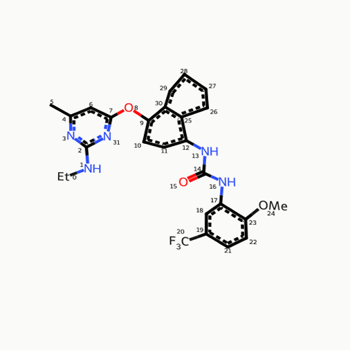 CCNc1nc(C)cc(Oc2ccc(NC(=O)Nc3cc(C(F)(F)F)ccc3OC)c3ccccc23)n1